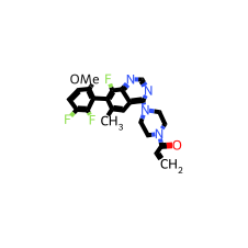 C=CC(=O)N1CCN(c2ncnc3c(F)c(-c4c(OC)ccc(F)c4F)c(C)cc23)CC1